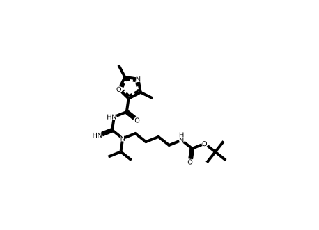 Cc1nc(C)c(C(=O)NC(=N)N(CCCCNC(=O)OC(C)(C)C)C(C)C)o1